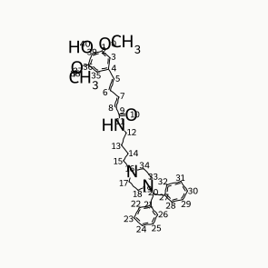 COc1cc(C=CC=CC(=O)NCCCCN2CCN(C(c3ccccc3)c3ccccc3)CC2)cc(OC)c1O